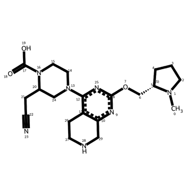 CN1CCC[C@H]1COc1nc2c(c(N3CCN(C(=O)O)C(CC#N)C3)n1)CCNC2